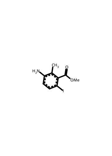 COC(=O)c1c(I)ccc(N)c1C